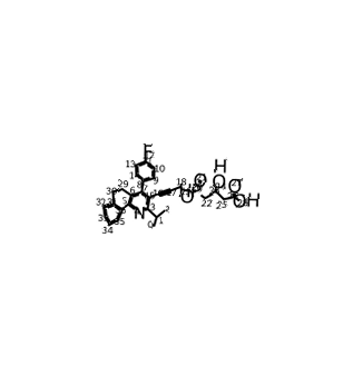 CC(C)c1nc2c(c(-c3ccc(F)cc3)c1C#CCO[PH](=O)CC(O)CC(=O)O)CCc1ccccc1-2